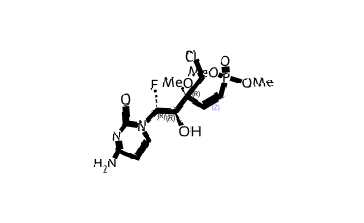 CO[C@@](/C=C\P(=O)(OC)OC)(CCl)[C@@H](O)[C@@H](F)n1ccc(N)nc1=O